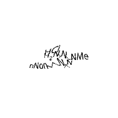 CCCCCCCCCCCCN1C(N)=NC(NC)=NC1(C)C.Cl